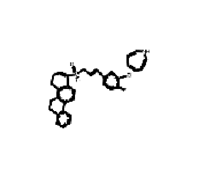 C1=CC=CNC=C1.O=S(=O)(CC=Cc1ccc(F)c(Cl)c1)C1=CCCc2c1ccc1c2CCc2ccccc2-1